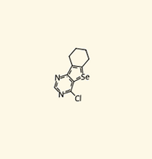 Clc1ncnc2c3c([se]c12)CCCC3